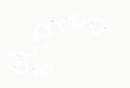 CN1CCN(c2ccc(NC(=O)Nc3ccc4c(c3)C(=O)C(=Cc3cn(C)c5nccc(N6CC7CCC(C6)O7)c35)O4)cc2)CC1